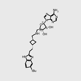 CC(C)(C)c1ccc2[nH]c(CC[C@H]3C[C@H](CNC[C@H]4O[C@@H](n5cnc6c(N)ncnc65)[C@H](O)[C@@H]4O)C3)nc2c1